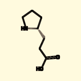 O=C(O)CC[C@H]1CCCN1